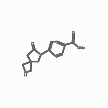 COC(=O)c1ccc(N2CC3(CNC3)CC2=O)cc1